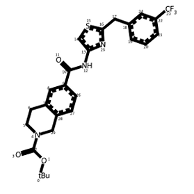 CC(C)(C)OC(=O)N1CCc2cc(C(=O)Nc3csc(Cc4cccc(C(F)(F)F)c4)n3)ccc2C1